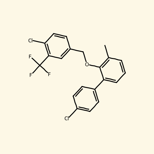 Cc1cccc(-c2ccc(Cl)cc2)c1OCc1ccc(Cl)c(C(F)(F)F)c1